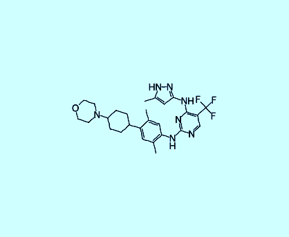 Cc1cc(Nc2nc(Nc3cc(C)c(C4CCC(N5CCOCC5)CC4)cc3C)ncc2C(F)(F)F)n[nH]1